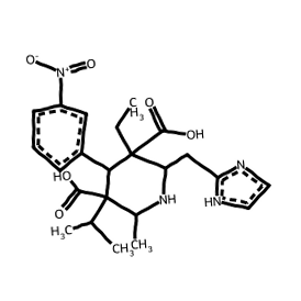 CCC1(C(=O)O)C(Cc2ncc[nH]2)NC(C)C(C(=O)O)(C(C)C)C1c1cccc([N+](=O)[O-])c1